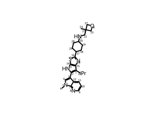 CC(C)c1c(-c2cn(C)c3ncccc23)[nH]c2sc(C3CCC(NCC4(C)COC4)CC3)nc12